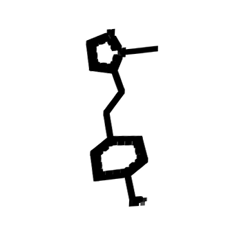 CCCc1ccc(CCc2ccnn2C)cc1